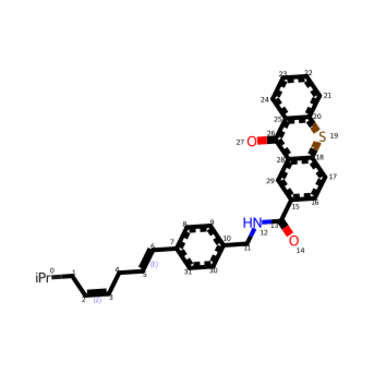 CC(C)C/C=C\C/C=C/c1ccc(CNC(=O)c2ccc3sc4ccccc4c(=O)c3c2)cc1